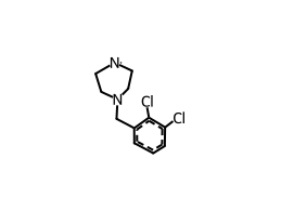 Clc1cccc(CN2CC[N]CC2)c1Cl